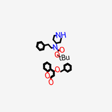 CC(C)(C)OC(=O)N(CCc1ccccc1)C1CCNCC1.O=c1cc(OCc2ccccc2)c2ccccc2o1